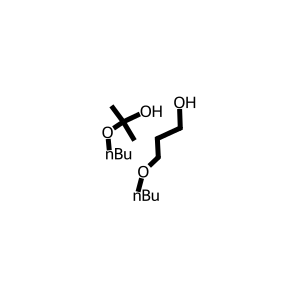 CCCCOC(C)(C)O.CCCCOCCCO